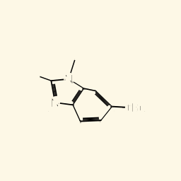 Cc1nc2ccc(C(C)(C)C)cc2n1C